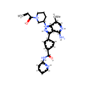 C=CC(=O)N1CCCC(n2nc(-c3ccc(C(=O)Nc4ccccn4)cc3)c3c(N)ncc(OC)c32)C1